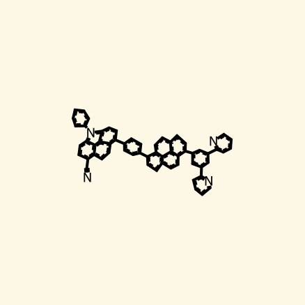 N#Cc1ccc2c3c1ccc1c(-c4ccc(-c5ccc6ccc7c(-c8cc(-c9ccccn9)cc(-c9ccccn9)c8)ccc8ccc5c6c87)cc4)ccc(c13)n2-c1ccccc1